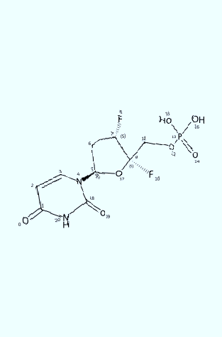 O=c1ccn([C@H]2C[C@H](F)[C@@](F)(COP(=O)(O)O)O2)c(=O)[nH]1